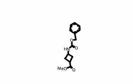 COC(=O)C1CC(NC(=O)OCc2ccccc2)C1